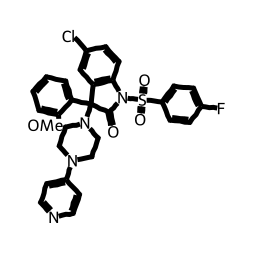 COc1ccccc1C1(N2CCN(c3ccncc3)CC2)C(=O)N(S(=O)(=O)c2ccc(F)cc2)c2ccc(Cl)cc21